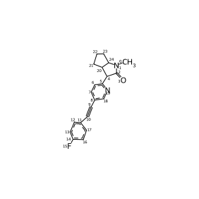 CN1C(=O)C(c2ccc(C#Cc3ccc(F)cc3)cn2)C2CCCC21